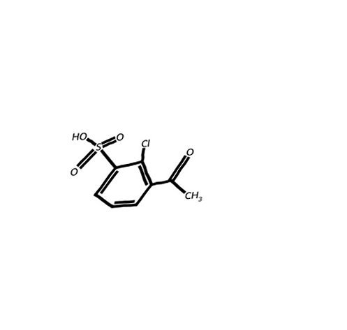 CC(=O)c1cccc(S(=O)(=O)O)c1Cl